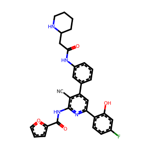 N#Cc1c(-c2cccc(NC(=O)CC3CCCCN3)c2)cc(-c2ccc(F)cc2O)nc1NC(=O)c1ccco1